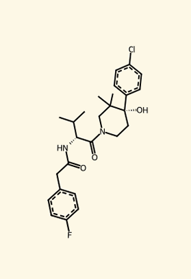 CC(C)[C@@H](NC(=O)Cc1ccc(F)cc1)C(=O)N1CC[C@](O)(c2ccc(Cl)cc2)C(C)(C)C1